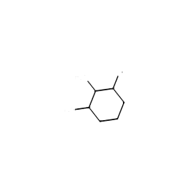 CC1C(O)CCCC1O